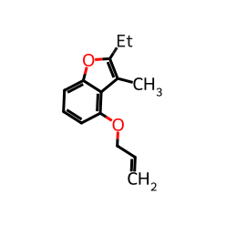 C=CCOc1cccc2oc(CC)c(C)c12